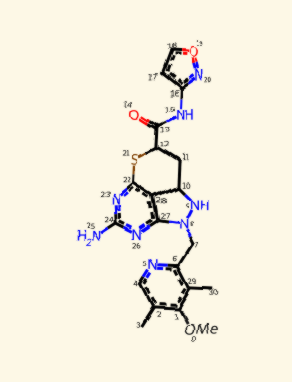 COc1c(C)cnc(CN2NC3CC(C(=O)Nc4ccon4)Sc4nc(N)nc2c43)c1C